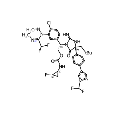 C=NN(/C(=N\C)C(F)F)c1cc([C@@H](COC(=O)N[C@H]2C[C@@H]2F)N2C(=N)N[C@](CC(C)(C)C)(c3ccc(-c4cnn(C(F)F)c4)cc3)C2=O)ccc1Cl